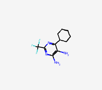 Nc1nc(C(F)(F)F)nc(C2CCCCC2)c1N